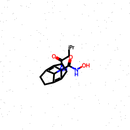 CC(C)CC(=O)NC1C2=C3CCC(=C1CC2)C3C(=O)NO